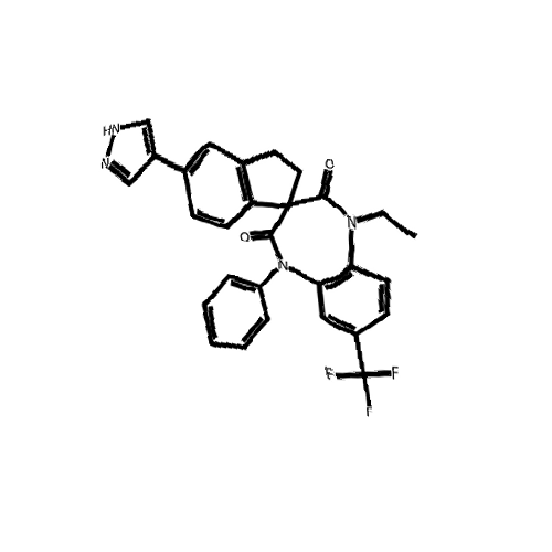 CCN1C(=O)C2(CCc3cc(-c4cn[nH]c4)ccc32)C(=O)N(c2ccccc2)c2cc(C(F)(F)F)ccc21